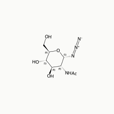 CC(=O)N[C@@H]1[C@@H](O)[C@H](O)[C@@H](CO)O[C@@H]1N=[N+]=[N-]